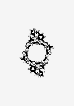 CC(C)C[C@H]1C(=O)O[C@H](Cc2ccc(Cn3nccc3C=O)cc2)C(=O)N(C)[C@@H](CC(C)C)C(=O)O[C@H](C)C(=O)N(C)[C@@H](CC(C)C)C(=O)O[C@H](Cc2ccc(Cn3nccc3C=O)cc2)C(=O)N(C)[C@@H](CC(C)C)C(=O)O[C@H](C)C(=O)N1C